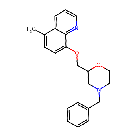 FC(F)(F)c1ccc(OCC2CN(Cc3ccccc3)CCO2)c2ncccc12